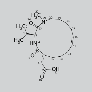 CC(C)[C@@H]1NC(=O)[C@@H](CC(=O)O)CCCC=CCCCCN(C)C1=O